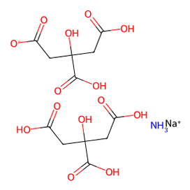 N.O=C(O)CC(O)(CC(=O)O)C(=O)O.O=C([O-])CC(O)(CC(=O)O)C(=O)O.[Na+]